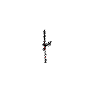 CCCCCCCCC=CCCCCCCCC(=O)OCC(COC(=O)CCCCCCCC=CCCCCCCCC)OC(=S)NCCN(CC)CC